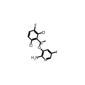 C[C@@H](Oc1cc(I)cnc1N)c1c(Cl)ccc(F)c1Cl